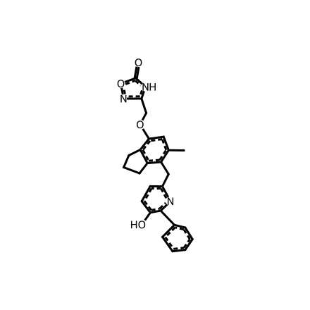 Cc1cc(OCc2noc(=O)[nH]2)c2c(c1Cc1ccc(O)c(-c3ccccc3)n1)CCC2